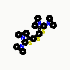 c1ccc2c(c1)c1ccccc1n2-c1cc2c3c(c1)-n1c4ccccc4c4cccc(c41)B3c1cc3c(cc1S2)sc1cc2c(cc13)B1c3c(cc(-n4c5ccccc5c5ccccc54)cc3-n3c4ccccc4c4cccc1c43)S2